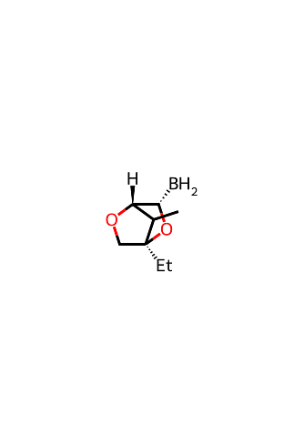 B[C@@H]1O[C@@]2(CC)CO[C@H]1C2C